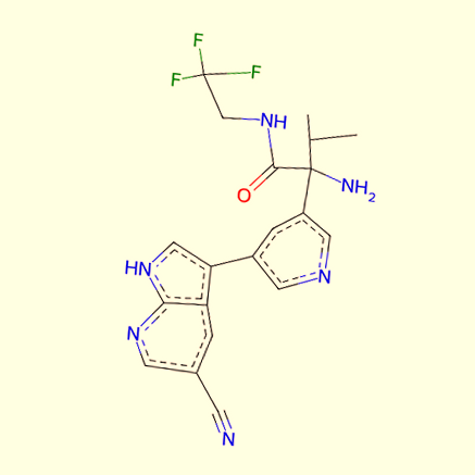 CC(C)C(N)(C(=O)NCC(F)(F)F)c1cncc(-c2c[nH]c3ncc(C#N)cc23)c1